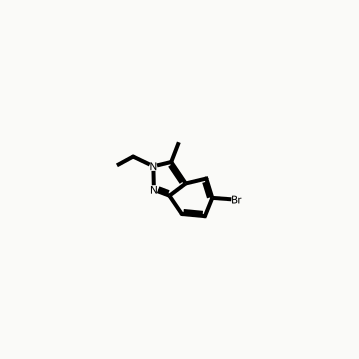 CCn1nc2ccc(Br)cc2c1C